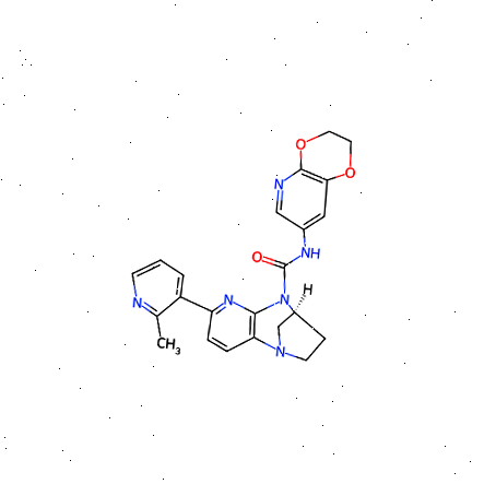 Cc1ncccc1-c1ccc2c(n1)N(C(=O)Nc1cnc3c(c1)OCCO3)[C@H]1CCN2C1